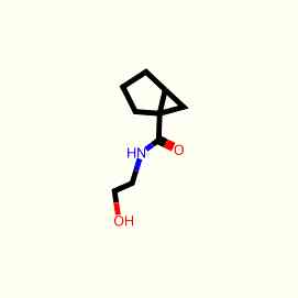 O=C(NCCO)C12CCCC1C2